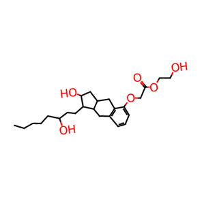 CCCCCC(O)CCC1C(O)CC2Cc3c(cccc3OCC(=O)OCCO)CC21